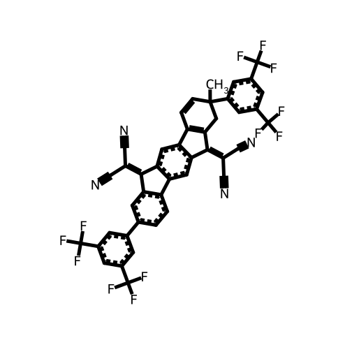 CC1(c2cc(C(F)(F)F)cc(C(F)(F)F)c2)C=CC2=C(C1)C(=C(C#N)C#N)c1cc3c(cc12)C(=C(C#N)C#N)c1cc(-c2cc(C(F)(F)F)cc(C(F)(F)F)c2)ccc1-3